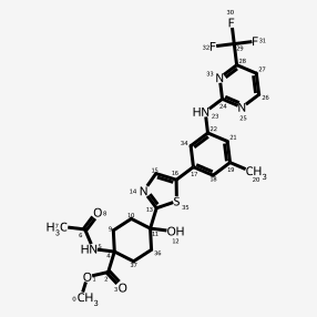 COC(=O)C1(NC(C)=O)CCC(O)(c2ncc(-c3cc(C)cc(Nc4nccc(C(F)(F)F)n4)c3)s2)CC1